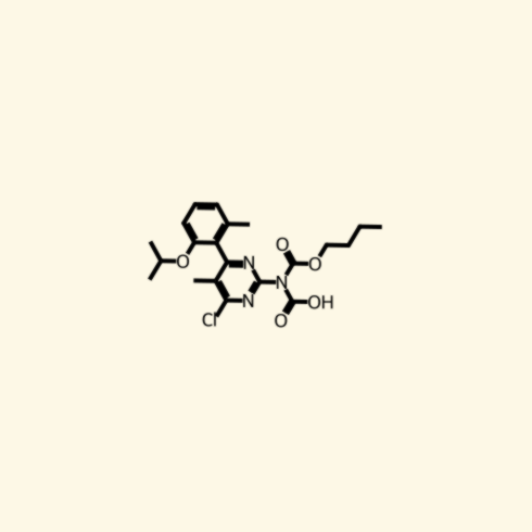 CCCCOC(=O)N(C(=O)O)c1nc(Cl)c(C)c(-c2c(C)cccc2OC(C)C)n1